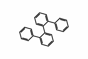 [c]1ccccc1-c1ccccc1-c1ccccc1-c1[c]cccc1